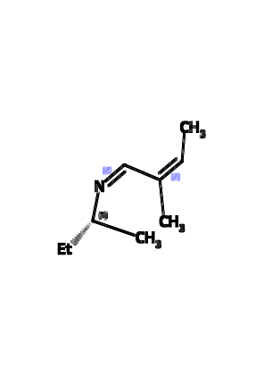 C/C=C(C)\C=N/[C@H](C)CC